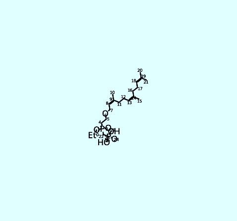 CCOP(=O)(CCOCC=C(C)CCC=C(C)CCC=C(C)C)CP(=O)(O)O